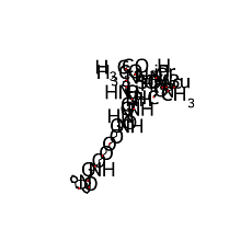 C#CCCCON(C(=O)[C@@H](NC(=O)[C@H]1CCCCN1C)[C@@H](C)CC)[C@H](C[C@@H](OC(C)=O)c1nc(C(=O)N[C@@H](Cc2ccc(NC(=O)CNC(=O)[C@H](Cc3ccccc3)NC(=O)CNC(=O)CNC(=O)CCOCCOCCOCCOCCNC(=O)CCC(=O)N3Cc4ccccc4C#Cc4ccccc43)cc2)CC(C)(C)C(=O)O)cs1)C(C)C